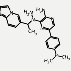 CC(c1ccc2nccn2c1)N(N)c1nc(-c2ccc(P(C)C)cc2)cnc1N